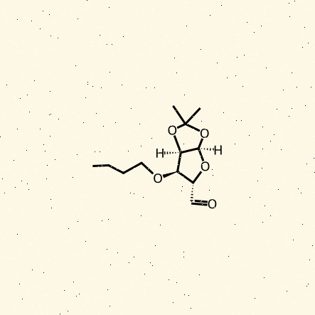 CCCCO[C@H]1[C@H]2OC(C)(C)O[C@H]2O[C@@H]1C=O